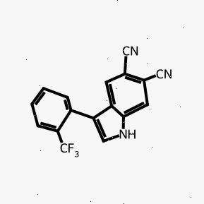 N#Cc1cc2[nH]cc(-c3ccccc3C(F)(F)F)c2cc1C#N